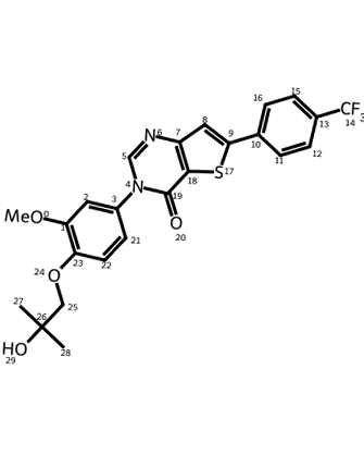 COc1cc(-n2cnc3cc(-c4ccc(C(F)(F)F)cc4)sc3c2=O)ccc1OCC(C)(C)O